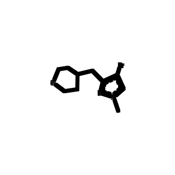 Cn1cc(Br)c(CC2CCOCC2)n1